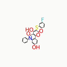 O=c1oc2c(c(O)c1Sc1cccc(F)c1)c(=O)n(-c1ccccc1)c1cc(O)ccc21